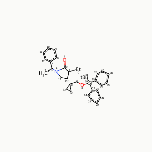 CCC1C(=O)N([C@@H](C)c2ccccc2)C[C@H]1C1(CO[Si](c2ccccc2)(c2ccccc2)C(C)(C)C)CC1